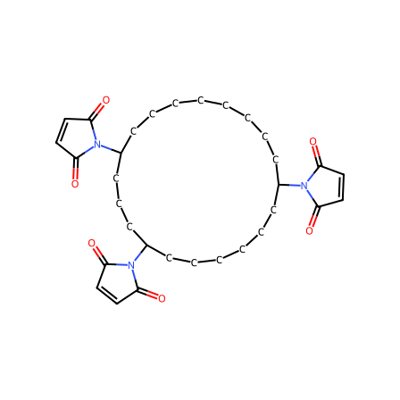 O=C1C=CC(=O)N1C1CCCCCCCCC(N2C(=O)C=CC2=O)CCCC(N2C(=O)C=CC2=O)CCCCCC1